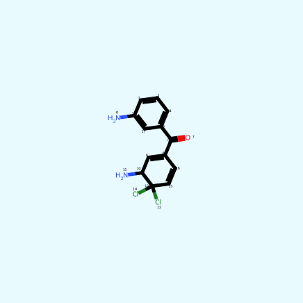 Nc1cccc(C(=O)C2=CC(N)C(Cl)(Cl)C=C2)c1